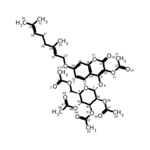 CC(=O)OC[C@H]1O[C@H](Oc2c(OC(C)=O)c(=O)oc3cc(OC/C=C(\C)CCC=C(C)C)ccc23)[C@@H](OC(C)=O)[C@@H](OC(C)=O)[C@@H]1OC(C)=O